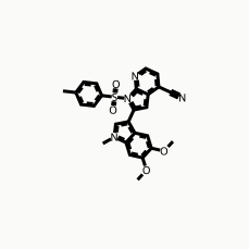 COc1cc2c(-c3cc4c(C#N)ccnc4n3S(=O)(=O)c3ccc(C)cc3)cn(C)c2cc1OC